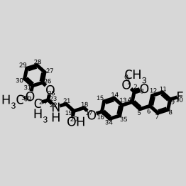 COC(=O)C(=Cc1ccc(F)cc1)c1ccc(OCC(O)CNC(C)Oc2ccccc2OC)cc1